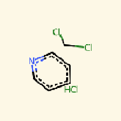 Cl.ClCCl.c1ccncc1